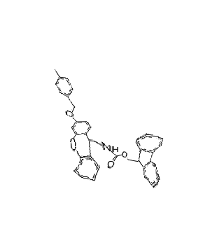 Cc1ccc(COc2ccc3c(c2)Oc2ccccc2C3NC(=O)OCC2c3ccccc3-c3ccccc32)cc1